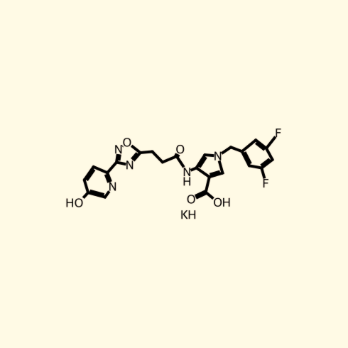 O=C(CCc1nc(-c2ccc(O)cn2)no1)Nc1cn(Cc2cc(F)cc(F)c2)cc1C(=O)O.[KH]